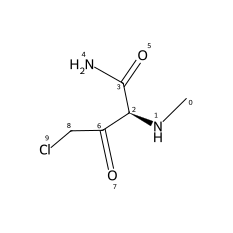 CN[C@H](C(N)=O)C(=O)CCl